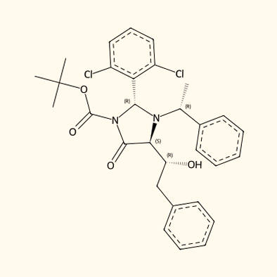 C[C@H](c1ccccc1)N1[C@@H]([C@H](O)Cc2ccccc2)C(=O)N(C(=O)OC(C)(C)C)[C@@H]1c1c(Cl)cccc1Cl